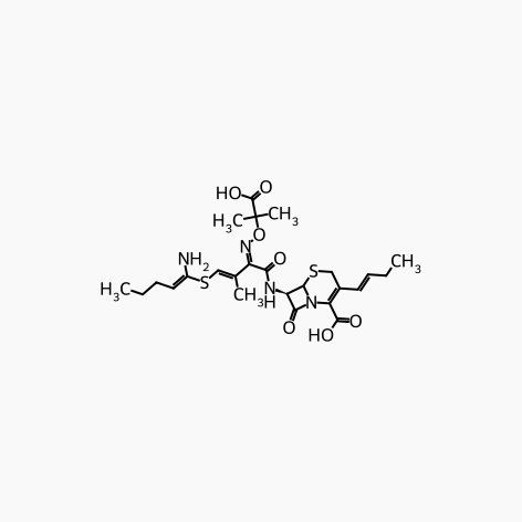 CC/C=C/C1=C(C(=O)O)N2C(=O)[C@@H](NC(=O)C(=N\OC(C)(C)C(=O)O)/C(C)=C/S/C(N)=C/CCC)C2SC1